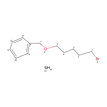 BrCCCCCOCc1ccccc1.[SiH4]